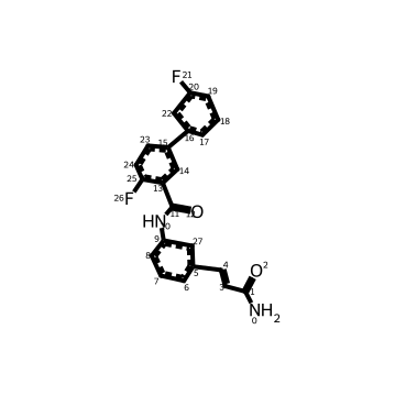 NC(=O)C=Cc1cccc(NC(=O)c2cc(-c3cccc(F)c3)ccc2F)c1